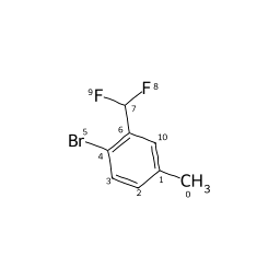 Cc1ccc(Br)c(C(F)F)c1